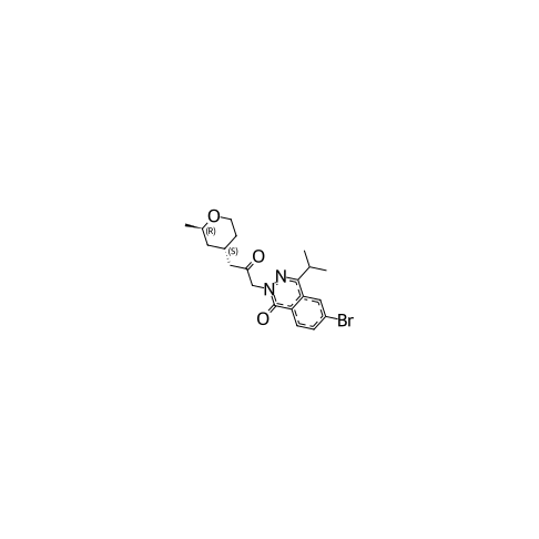 CC(C)c1nn(CC(=O)C[C@H]2CCO[C@H](C)C2)c(=O)c2ccc(Br)cc12